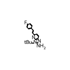 CC(C)(C)Cn1c(N)nc2ccc(C=Cc3ccc(F)cc3)nc21